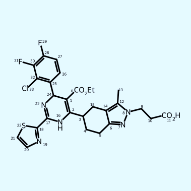 CCOC(=O)C1=C(C2CCc3nn(CCC(=O)O)c(C)c3C2)NC(c2nccs2)=NC1c1ccc(F)c(F)c1Cl